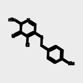 CCCCn1ncc(SCc2ccc(C(C)(C)C)cc2)c(Cl)c1=O